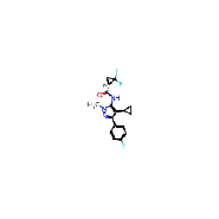 Cn1nc(-c2ccc(F)cc2)c(C2CC2)c1NC(=O)[C@@H]1CC1(F)F